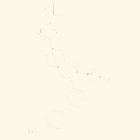 CCOc1ccc(-c2cccc(N(CC34CCC(c5noc(C6(C)CC6)n5)(CC3)CC4)C(=O)C34CC(F)(C3)C4)c2)cc1